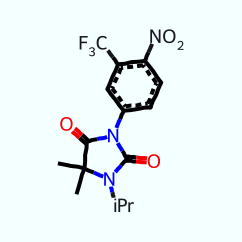 CC(C)N1C(=O)N(c2ccc([N+](=O)[O-])c(C(F)(F)F)c2)C(=O)C1(C)C